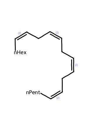 [CH2]CCCCC/C=C\C/C=C\C/C=C\C/C=C\CCCCC